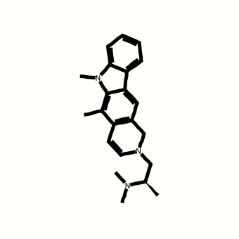 Cc1c2c(cc3c4ccccc4n(C)c13)CN(C[C@@H](C)N(C)C)C=C2